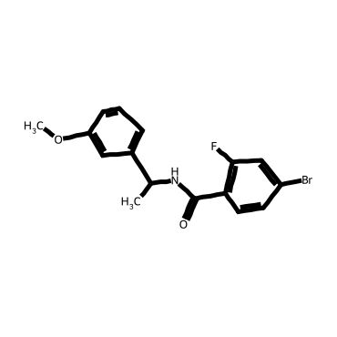 COc1cccc(C(C)NC(=O)c2ccc(Br)cc2F)c1